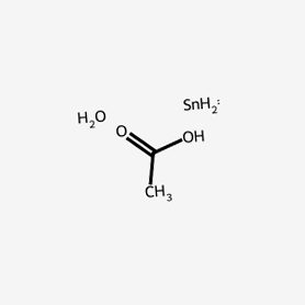 CC(=O)O.O.[SnH2]